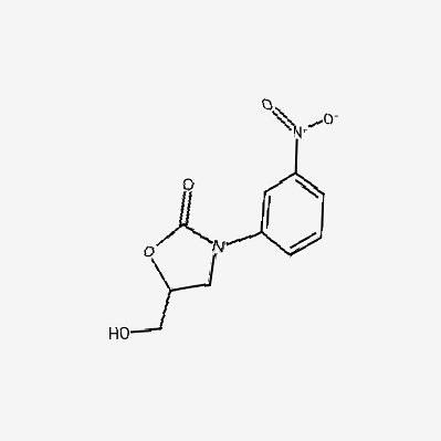 O=C1OC(CO)CN1c1cccc([N+](=O)[O-])c1